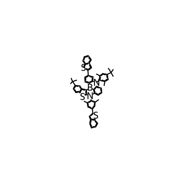 Cc1cc(C(C)(C)C)cc(C)c1N1c2cc(-c3cc4ccccc4s3)ccc2B2c3c1cccc3N(c1c(C)cc(-c3cc4ccccc4s3)cc1C)c1sc3ccc(C(C)(C)C)cc3c12